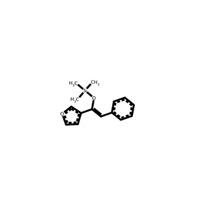 C[Si](C)(C)OC(=Cc1ccccc1)c1ccoc1